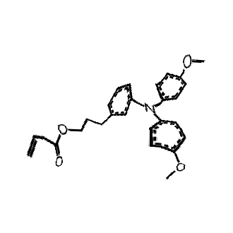 C=CC(=O)OCCCc1cccc(N(c2ccc(OC)cc2)c2ccc(OC)cc2)c1